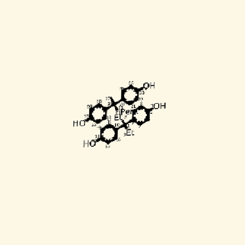 CCC(CC)(c1ccc(O)cc1)c1ccc(O)cc1.CCCCCC(C)(c1ccc(O)cc1)c1ccc(O)cc1